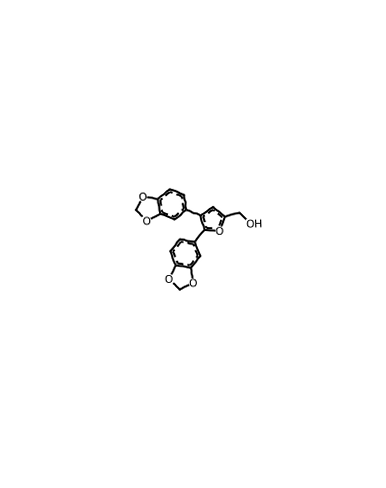 OCc1cc(-c2ccc3c(c2)OCO3)c(-c2ccc3c(c2)OCO3)o1